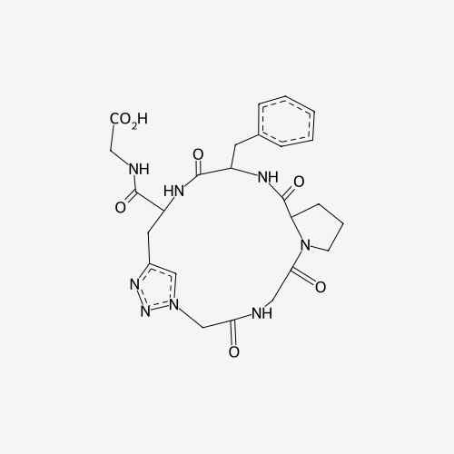 O=C(O)CNC(=O)C1Cc2cn(nn2)CC(=O)NCC(=O)N2CCCC2C(=O)NC(Cc2ccccc2)C(=O)N1